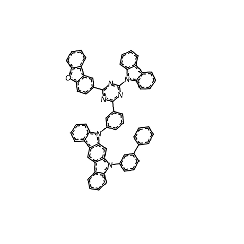 c1ccc(-c2cccc(-n3c4ccccc4c4cc5c6ccccc6n(-c6cccc(-c7nc(-c8ccc9oc%10ccccc%10c9c8)nc(-n8c9ccccc9c9ccccc98)n7)c6)c5cc43)c2)cc1